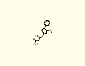 CSc1cc(CC(Cl)CC(=O)O)ccc1-c1ccccc1